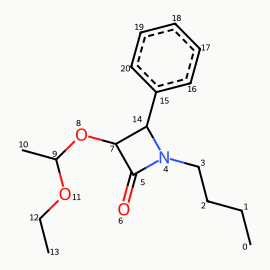 CCCCN1C(=O)C(OC(C)OCC)C1c1ccccc1